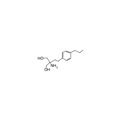 CCCc1ccc(CCC(N)(CO)CO)cc1